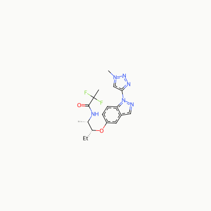 CC[C@@H](Oc1ccc2c(cnn2-c2cn(C)nn2)c1)[C@H](C)NC(=O)C(C)(F)F